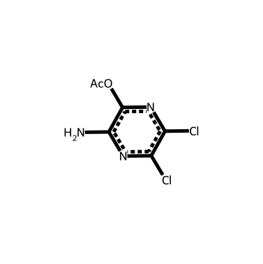 CC(=O)Oc1nc(Cl)c(Cl)nc1N